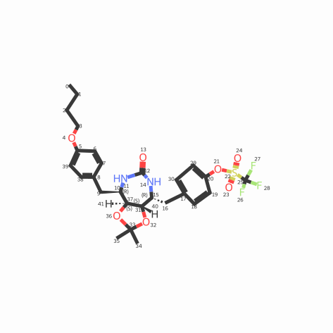 CCCCOc1ccc(C[C@H]2NC(=O)N[C@H](Cc3ccc(OS(=O)(=O)C(F)(F)F)cc3)[C@@H]3OC(C)(C)O[C@H]32)cc1